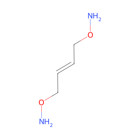 NOCC=CCON